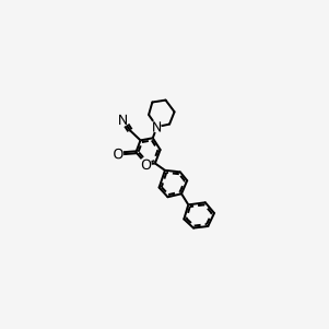 N#Cc1c(N2CCCCC2)cc(-c2ccc(-c3ccccc3)cc2)oc1=O